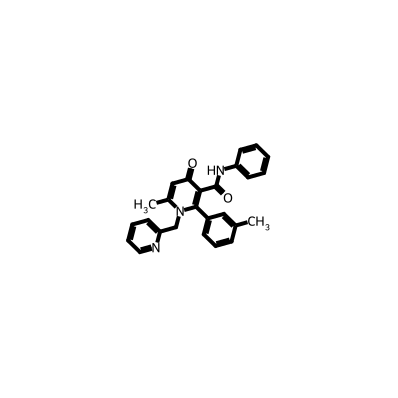 Cc1cccc(-c2c(C(=O)Nc3ccccc3)c(=O)cc(C)n2Cc2ccccn2)c1